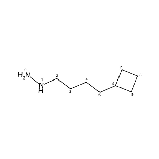 NNCCCCC1CCC1